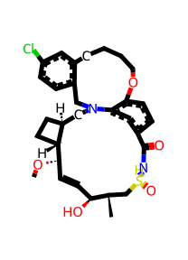 CO[C@H]1/C=C/[C@H](O)[C@H](C)C/[SH](=O)=N\C(=O)c2ccc3c(c2)N(Cc2ccc(Cl)cc2CCCCO3)C[C@@H]2CC[C@H]21